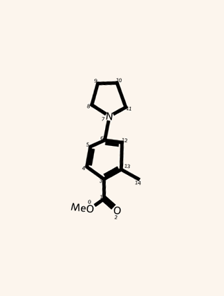 COC(=O)c1ccc(N2CCCC2)cc1C